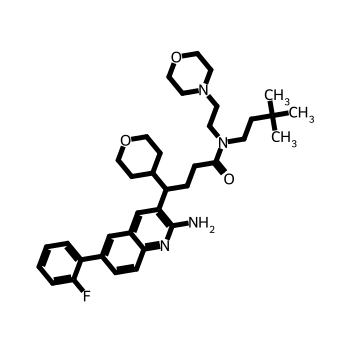 CC(C)(C)CCN(CCN1CCOCC1)C(=O)CCC(c1cc2cc(-c3ccccc3F)ccc2nc1N)C1CCOCC1